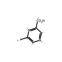 O=C(O)c1cncc(I)n1